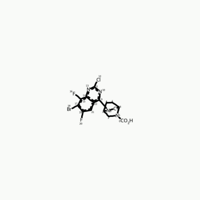 O=C(O)N1CC2CCC1CN2c1nc(Cl)nc2c(F)c(Br)c(F)cc12